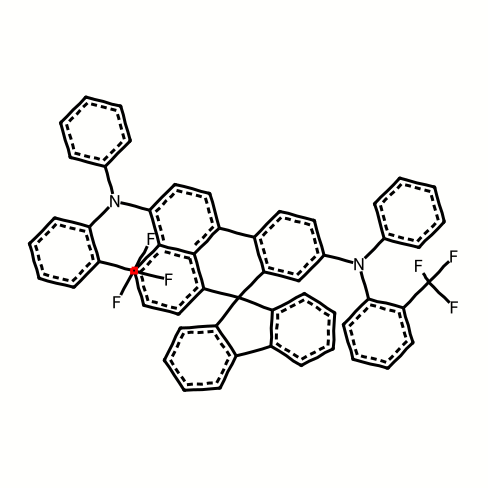 FC(F)(F)c1ccccc1N(c1ccccc1)c1ccc2c(c1)C1(c3ccccc3-c3ccccc31)c1cccc3c(N(c4ccccc4)c4ccccc4C(F)(F)F)ccc-2c13